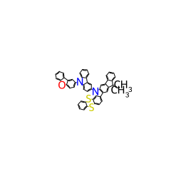 CC1(C)c2ccccc2-c2cc3c(cc21)c1ccc2c(c1n3-c1ccc3c(c1)c1ccccc1n3-c1ccc3oc4ccccc4c3c1)Sc1ccccc1S2